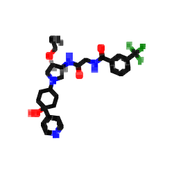 CCO[C@H]1CN(C2CCC(O)(c3ccncc3)CC2)C[C@@H]1NC(=O)CNC(=O)c1cccc(C(F)(F)F)c1